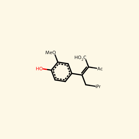 COc1cc(C(CC(C)C)=C(C(C)=O)C(=O)O)ccc1O